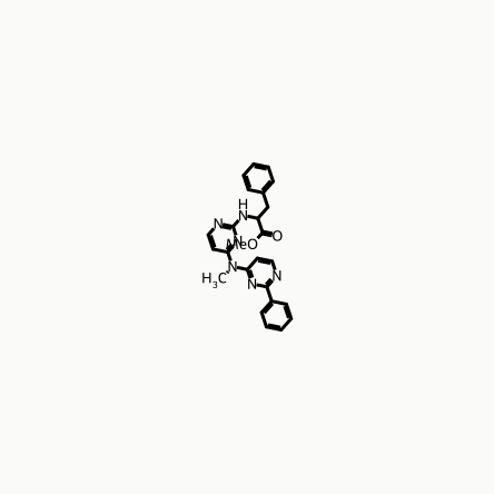 COC(=O)C(Cc1ccccc1)Nc1nccc(N(C)c2ccnc(-c3ccccc3)n2)n1